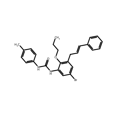 CCCOc1c(C/C=C/c2ccccc2)cc(Br)cc1NC(=O)Nc1ccc(C)cc1